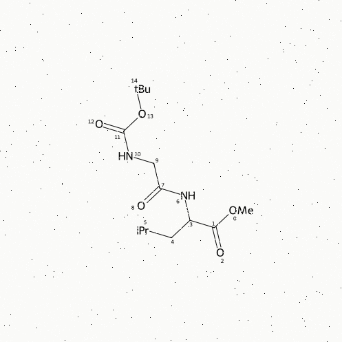 COC(=O)C(CC(C)C)NC(=O)CNC(=O)OC(C)(C)C